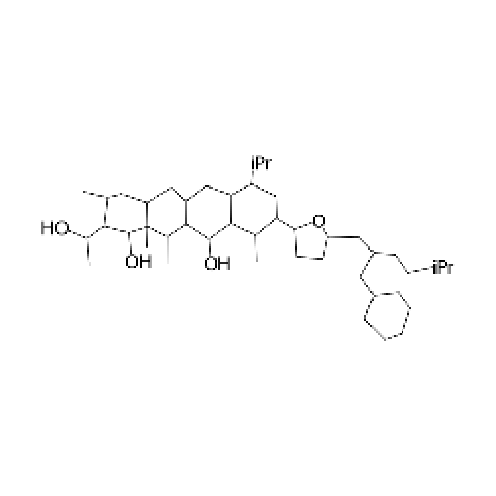 CC(C)CCC(CC1CCCCC1)CC1CCC(C2CC(C(C)C)C3CC4CC5CC(C)C(C(C)O)C(O)C5(C)C(C)C4C(O)C3C2C)O1